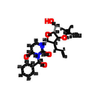 C=CC[C@@H]1[C@H](O[Si](C)(C)C(C)(C)C)[C@@H](CO)O[C@H]1n1ccc(=O)n(C(=O)c2ccccc2)c1=O